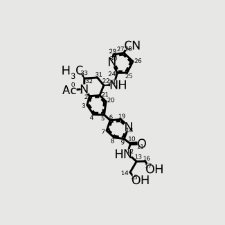 CC(=O)N1c2ccc(-c3ccc(C(=O)NC(CO)CO)nc3)cc2[C@H](Nc2ccc(C#N)cn2)C[C@@H]1C